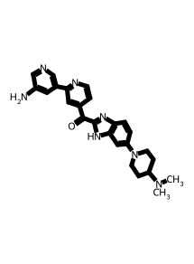 CN(C)C1CCN(c2ccc3nc(C(=O)c4ccnc(-c5cncc(N)c5)c4)[nH]c3c2)CC1